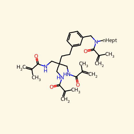 C=C(C)C(=O)NCC(CCc1cccc(CN(CCCCCCC)C(=O)C(=C)C)c1)(CNC(=O)C(=C)C)CNC(=O)C(=C)C